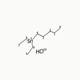 CCCC[CH2][Sn]([CH2]C)[CH2]C.Cl